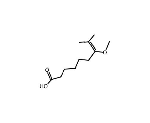 COC(CCCCCC(=O)O)=C(C)C